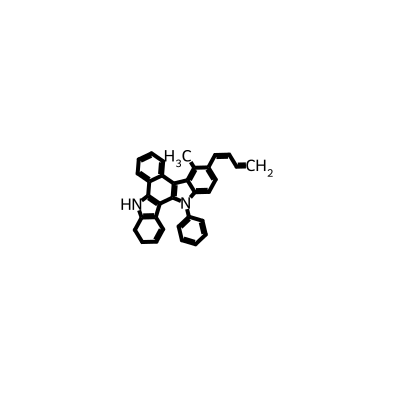 C=C/C=C\c1ccc2c(c1C)c1c3ccccc3c3[nH]c4c(c3c1n2-c1ccccc1)C=CCC4